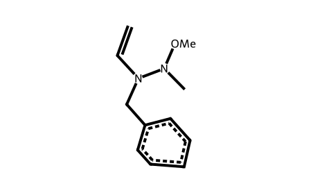 C=CN(Cc1ccccc1)N(C)OC